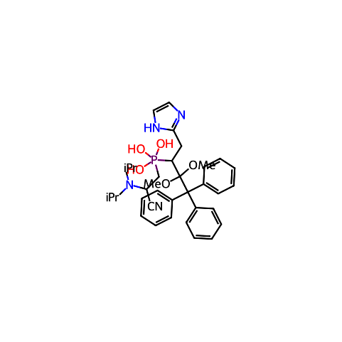 COC(OC)(C(Cc1ncc[nH]1)P(O)(O)(O)CC(C#N)N(C(C)C)C(C)C)C(c1ccccc1)(c1ccccc1)c1ccccc1